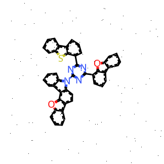 c1ccc2c(c1)oc1c(-c3nc(-c4cccc5c4sc4ccccc45)nc(-n4c5ccccc5c5c6oc7ccccc7c6ccc54)n3)cccc12